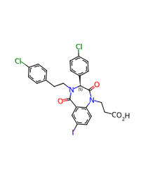 O=C(O)CCN1C(=O)[C@H](c2ccc(Cl)cc2)N(CCc2ccc(Cl)cc2)C(=O)c2cc(I)ccc21